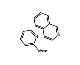 CCCCCc1ccccn1.c1ccc2cnccc2c1